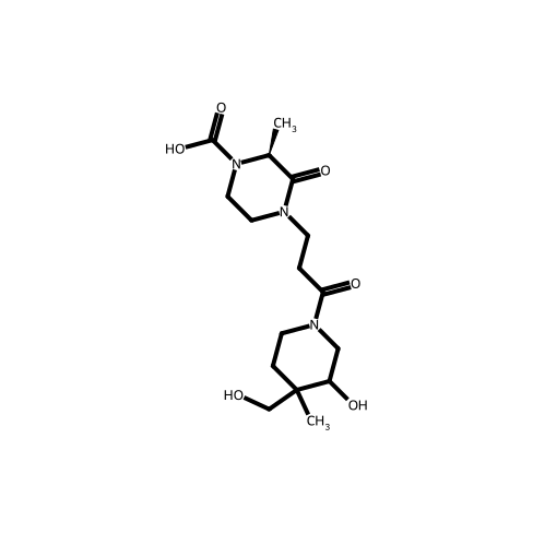 C[C@H]1C(=O)N(CCC(=O)N2CCC(C)(CO)C(O)C2)CCN1C(=O)O